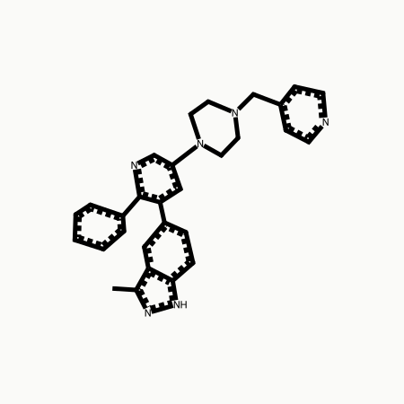 Cc1n[nH]c2ccc(-c3cc(N4CCN(Cc5ccncc5)CC4)cnc3-c3ccccc3)cc12